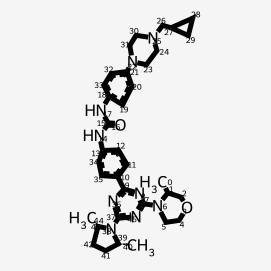 CC1COCCN1c1nc(-c2ccc(NC(=O)Nc3ccc(N4CCN(CC5CC5)CC4)cc3)cc2)nc(N2[C@H](C)CC[C@@H]2C)n1